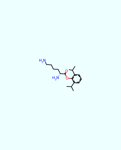 CC(C)c1cccc(C(C)C)c1OC(=O)[C@H](N)CCCCN